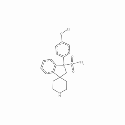 CCOc1ccc([N+]2(S(N)(=O)=O)CC3(CCNCC3)c3ccccc32)cc1